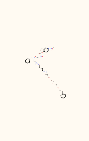 CC(=O)Nc1ccc2c(c1)CC[C@@]21OC(=O)N(CC(=O)N(Cc2ccc(F)cc2)[C@@H](C)CNC(=O)CCCNC(=O)CCOCCOCCOCCc2ccccc2)C1=O